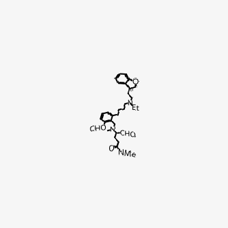 CCN(CCCCc1cccc(C=O)c1CN(C)C(C=O)CCC(=O)NC)CC[C@@H]1COc2ccccc21